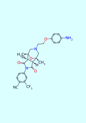 C[C@]12CN(CCOc3ccc(N)cc3)C[C@](C)(O1)[C@H]1C(=O)N(c3ccc(C#N)c(C(F)(F)F)c3)C(=O)[C@H]12